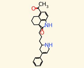 CC(=O)c1ccc2c3c1CCCC3(CCCCC1CC(c3ccccc3)=CCN1)C(=O)N2